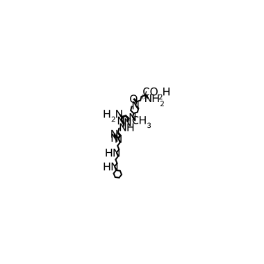 CN(c1cc(N)nc(NCc2cn(CCCNCCCNC3CCCCC3)nn2)n1)C1CCN(C(=O)CC[C@H](N)C(=O)O)CC1